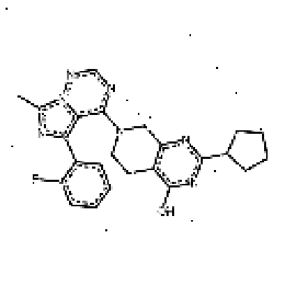 Cc1nc(-c2ccccc2F)c2c(N3CCc4c(O)nc(C5CCCC5)nc4C3)ncnn12